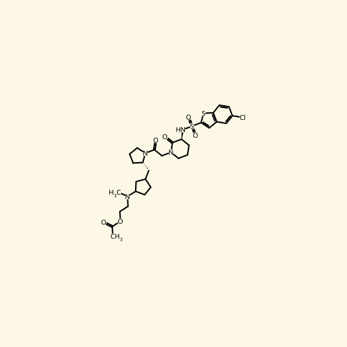 CC(=O)OCCN(C)C1CCC(C[C@@H]2CCCN2C(=O)CN2CCC[C@H](NS(=O)(=O)c3cc4cc(Cl)ccc4s3)C2=O)C1